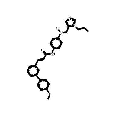 CCCn1cncc1C[S+]([O-])c1ccc(NC(=O)/C=C/c2cccc(-c3ccc(OC)cc3)c2)cc1